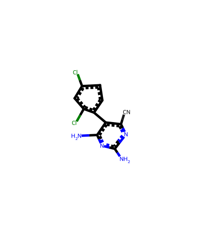 N#Cc1nc(N)nc(N)c1-c1ccc(Cl)cc1Cl